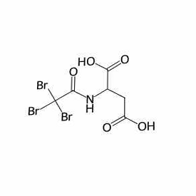 O=C(O)CC(NC(=O)C(Br)(Br)Br)C(=O)O